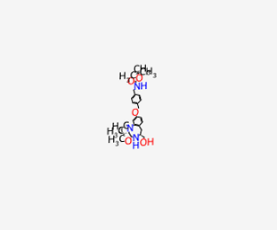 CC(C)[C@H]1C(=O)N[C@H](CO)Cc2ccc(OCc3ccc(CNC(=O)OC(C)(C)C)cc3)cc2N1C